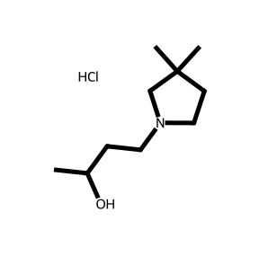 CC(O)CCN1CCC(C)(C)C1.Cl